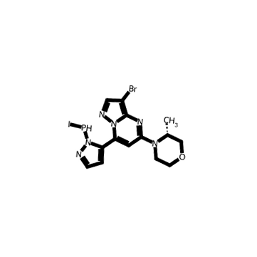 C[C@@H]1COCCN1c1cc(-c2ccnn2PI)n2ncc(Br)c2n1